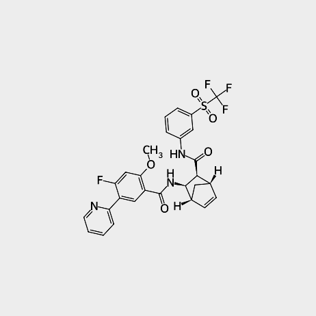 COc1cc(F)c(-c2ccccn2)cc1C(=O)N[C@H]1[C@@H](C(=O)Nc2cccc(S(=O)(=O)C(F)(F)F)c2)[C@@H]2C=C[C@H]1C2